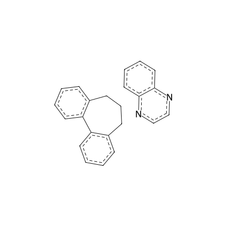 c1ccc2c(c1)CCCc1ccccc1-2.c1ccc2nccnc2c1